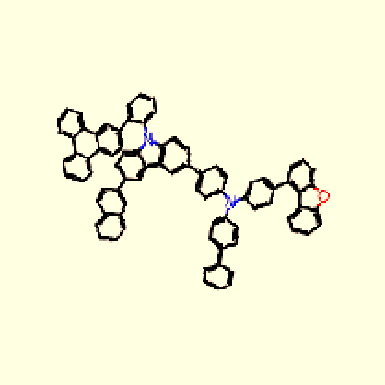 c1ccc(-c2ccc(N(c3ccc(-c4ccc5c(c4)c4cc(-c6ccc7ccccc7c6)ccc4n5-c4ccccc4-c4ccc5c6ccccc6c6ccccc6c5c4)cc3)c3ccc(-c4cccc5oc6ccccc6c45)cc3)cc2)cc1